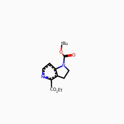 CCOC(=O)c1nccc2c1CCN2C(=O)OC(C)(C)C